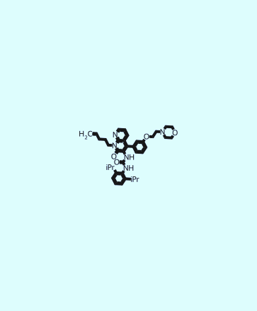 C=CCCCn1c(=O)c(NC(=O)Nc2c(C(C)C)cccc2C(C)C)c(-c2cccc(OCCN3CCOCC3)c2)c2cccnc21